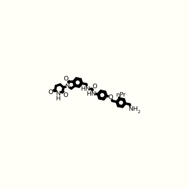 CCCc1cc(CN)ccc1COc1ccc(NC(=O)NCc2ccc3c(c2)CN(C2CCC(=O)NC2=O)C3=O)cc1